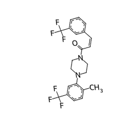 Cc1ccc(C(F)(F)F)cc1N1CCN(C(=O)/C=C\c2cccc(C(F)(F)F)c2)CC1